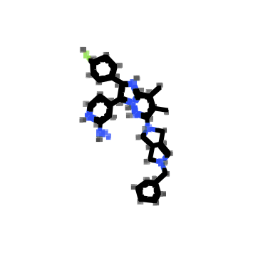 Cc1c(N2CC3=CN(Cc4ccccc4)CC3C2)nn2c(-c3ccnc(N)c3)c(-c3ccc(F)cc3)nc2c1C